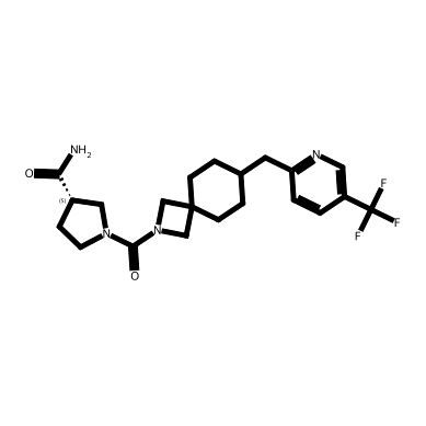 NC(=O)[C@H]1CCN(C(=O)N2CC3(CCC(Cc4ccc(C(F)(F)F)cn4)CC3)C2)C1